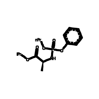 CCCOP(=O)(N[C@@H](C)C(=O)OC(C)C)Oc1ccccc1